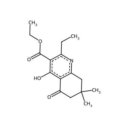 CCOC(=O)c1c(CC)nc2c(c1O)C(=O)CC(C)(C)C2